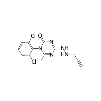 C#CCNNc1nc(C)n(-c2c(Cl)cccc2Cl)c(=O)n1